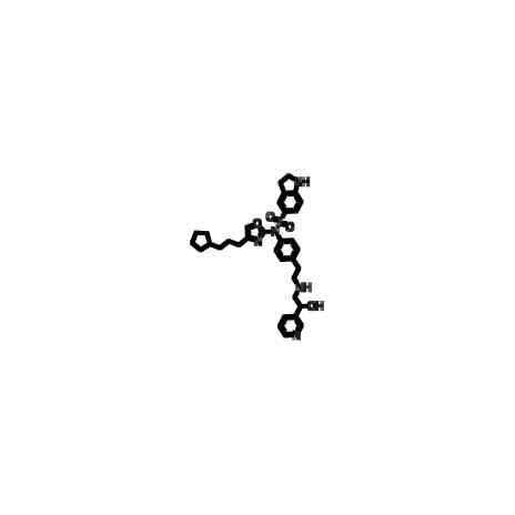 O=S(=O)(c1ccc2c(c1)CCN2)N(c1ccc(CCNCC(O)c2cccnc2)cc1)c1nc(CCCC2CCCC2)co1